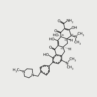 CN1CCN(Cc2ccc(-c3cc(N(C)C)c4c(c3O)C(=O)C3=C(O)[C@@]5(O)C(=O)C(C(N)=O)=C(O)[C@@H](N(C)C)[C@@H]5C[C@H]3C4)cc2)CC1